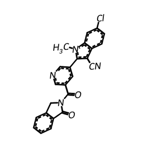 Cn1c(-c2cncc(C(=O)N3Cc4ccccc4C3=O)c2)c(C#N)c2ccc(Cl)cc21